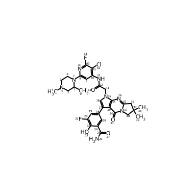 CC1CN(C)CCN1c1cc(NC(=O)Cn2cc(-c3cc(F)c(O)c(C(N)=O)c3)c3c(=O)n4c(nc32)CC(C)(C)C4)c(Cl)c(F)n1